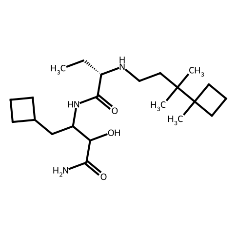 CC[C@H](NCCC(C)(C)C1(C)CCC1)C(=O)NC(CC1CCC1)C(O)C(N)=O